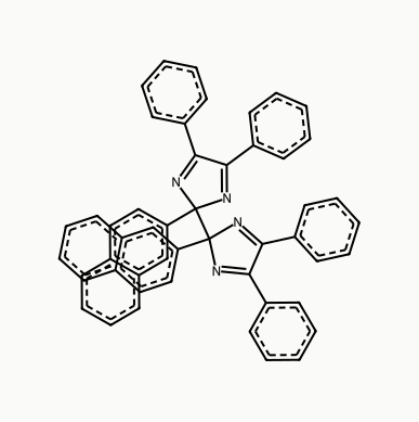 c1ccc(C2=NC(c3ccc4ccccc4c3)(C3(c4ccc5ccccc5c4)N=C(c4ccccc4)C(c4ccccc4)=N3)N=C2c2ccccc2)cc1